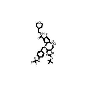 CC(C)(C)OC(=O)N[C@H]1CS(=O)(=O)c2cc(F)c(C(=O)NCC3CCOCC3)cc2N(Cc2ccc(OC(F)(F)F)cc2)C1=O